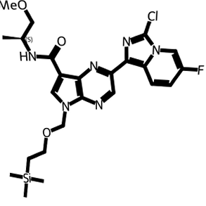 COC[C@H](C)NC(=O)c1cn(COCC[Si](C)(C)C)c2ncc(-c3nc(Cl)n4cc(F)ccc34)nc12